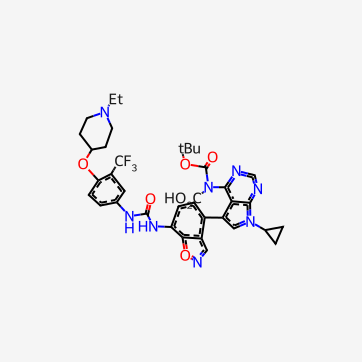 CCN1CCC(Oc2ccc(NC(=O)Nc3ccc(-c4cn(C5CC5)c5ncnc(N(C(=O)O)C(=O)OC(C)(C)C)c45)c4cnoc34)cc2C(F)(F)F)CC1